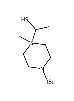 CC(S)S1(C)CCN(C(C)(C)C)CC1